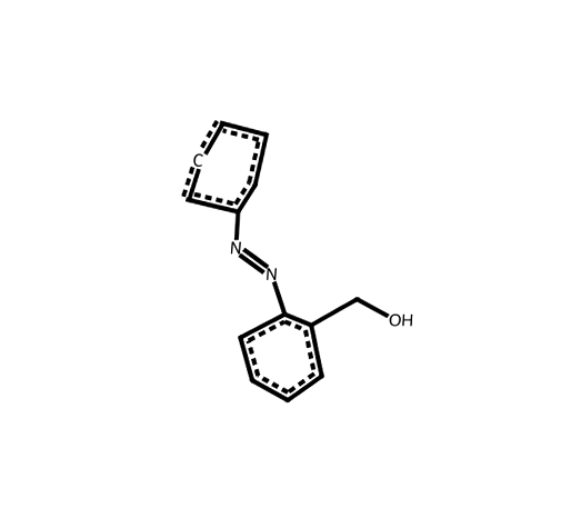 OCc1ccccc1N=Nc1ccccc1